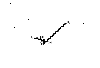 CCCCCCCCCCCCCCC[C@@H](O)[C@H](CO)NC(=O)[C@H](O)CCCC